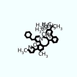 C=C1C2C(CCc3cc(C)c4c(oc5nc(C)ccc54)c3-c3cc(CC4CCCCC4)cc[n+]31)c1ccccc1-c1cc(C(C)C)c([Si](C)(C)C)c[n+]12